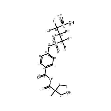 CCC(C)(CO)C(=O)OC(=O)c1ccc(OS(=O)(=O)C(F)(F)C(F)(F)C(F)(F)S(=O)(=O)O)cc1